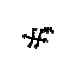 NSC(F)(F)C(F)(F)F